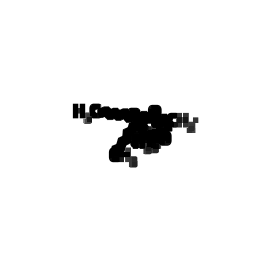 [CH2]C(COC(=O)CCC(OCCCCCCCC)OCCCCCCCC)COC(=O)N(C)CCN(CC)CC